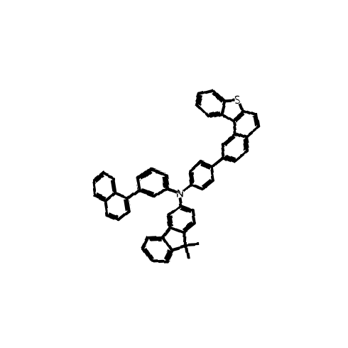 CC1(C)c2ccccc2-c2cc(N(c3ccc(-c4ccc5ccc6sc7ccccc7c6c5c4)cc3)c3cccc(-c4cccc5ccccc45)c3)ccc21